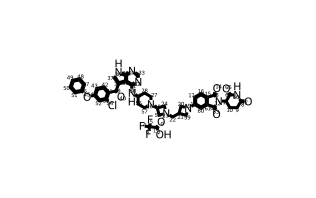 O=C(O)C(F)(F)F.O=C1CCC(N2C(=O)c3ccc(N4CC(CN5CC(N6CCC(Nc7ncnc8[nH]cc(C(=O)c9ccc(Oc%10ccccc%10)cc9Cl)c78)CC6)C5)C4)cc3C2=O)C(=O)N1